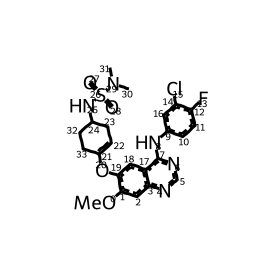 COc1cc2ncnc(Nc3ccc(F)c(Cl)c3)c2cc1OC1=CCC(NS(=O)(=O)N(C)C)CC1